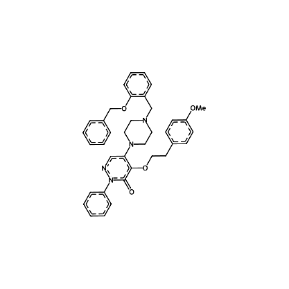 COc1ccc(CCOc2c(N3CCN(Cc4ccccc4OCc4ccccc4)CC3)cnn(-c3ccccc3)c2=O)cc1